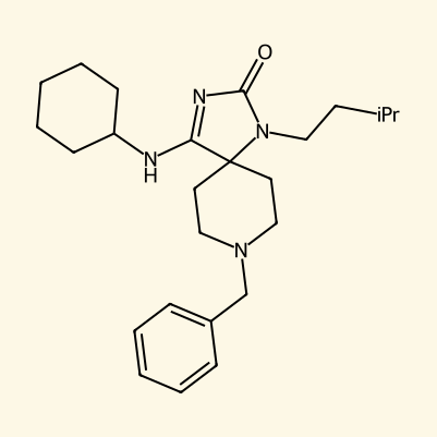 CC(C)CCN1C(=O)N=C(NC2CCCCC2)C12CCN(Cc1ccccc1)CC2